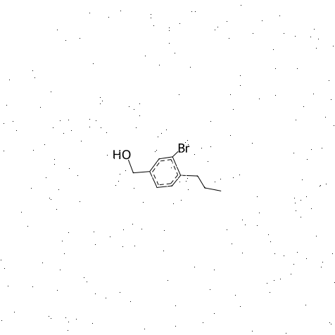 CCCc1ccc(CO)cc1Br